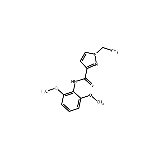 CCn1ccc(C(=S)Nc2c(OC)cccc2OC)n1